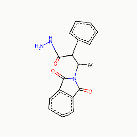 CC(=O)C(C(C(=O)NN)c1ccccc1)N1C(=O)c2ccccc2C1=O